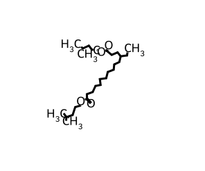 CCC(CCCCCCCCCCC(=O)OCCCC(C)C)CCC(=O)OCCCC(C)C